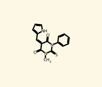 CN1C(=O)C(=Cc2ccc[nH]2)C(=O)N(c2ccccc2)C1=S